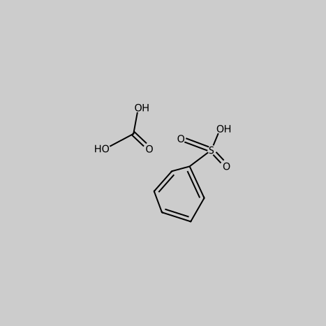 O=C(O)O.O=S(=O)(O)c1ccccc1